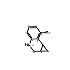 Brc1cccc2c1C1CC1CN2